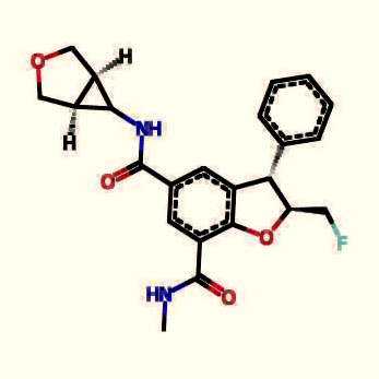 CNC(=O)c1cc(C(=O)NC2[C@H]3COC[C@@H]23)cc2c1O[C@H](CF)[C@H]2c1ccccc1